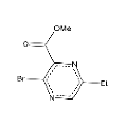 CCc1cnc(Br)c(C(=O)OC)n1